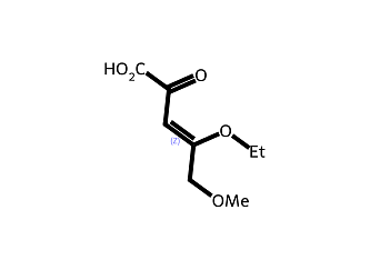 CCO/C(=C\C(=O)C(=O)O)COC